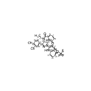 CCN(C(=O)c1cccc(=O)[nH]1)C1CN(C(=NC#N)Nc2cccc(OC(F)(F)F)c2)N=C1c1ccc(Cl)c(Cl)c1